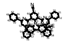 N#Cc1cc(-c2nc(-c3ccccc3)cc(-c3ccccc3)n2)c(-n2c3ccccc3c3ccc(C(F)(F)F)cc32)c(-c2nc(-c3ccccc3)cc(-c3ccccc3)n2)c1